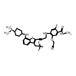 CNC(=O)c1cc(OCC#N)c(NCC#Cc2sc3c(NC4CCC(N(C)C)CC4)cccc3c2CC(F)(F)F)cc1F